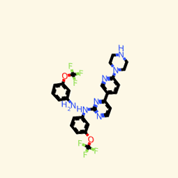 FC(F)(F)Oc1cccc(Nc2nccc(-c3ccc(N4CCNCC4)nc3)n2)c1.Nc1cccc(OC(F)(F)F)c1